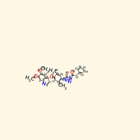 COc1cc2nccc(Oc3cc(C)c(NC(=S)NC(=O)Cc4ccccc4)cc3C)c2cc1OC